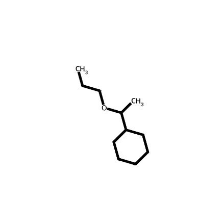 CC[CH]OC(C)C1CCCCC1